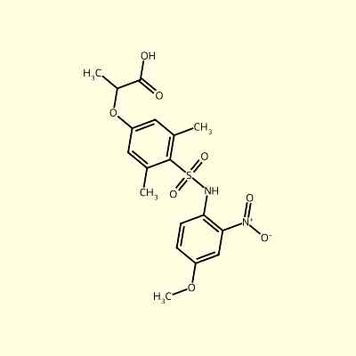 COc1ccc(NS(=O)(=O)c2c(C)cc(OC(C)C(=O)O)cc2C)c([N+](=O)[O-])c1